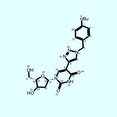 CCCCc1ccc(Cn2cc(-c3cn([C@@H]4CC(O)[C@H](CO)O4)c(=O)[nH]c3=O)nn2)cc1